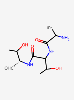 CC(C)C(N)C(=O)NC(C(=O)N[C@H](C=O)C(C)O)C(C)O